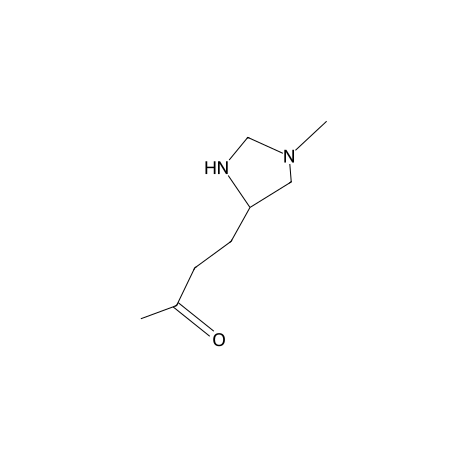 CC(=O)CCC1CN(C)CN1